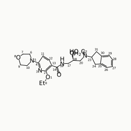 CCOc1nc(N2CCOCC2)ccc1C(=O)NC[C@@H](O)CN(C(=O)O)C1Cc2ccccc2C1